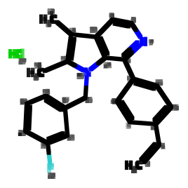 C=Cc1ccc(-c2nccc3c(C)c(C)n(Cc4cccc(F)c4)c23)cc1.Cl